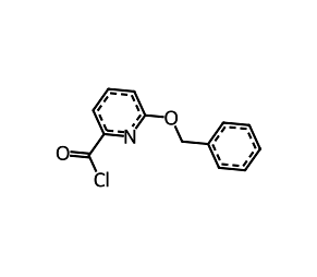 O=C(Cl)c1cccc(OCc2ccccc2)n1